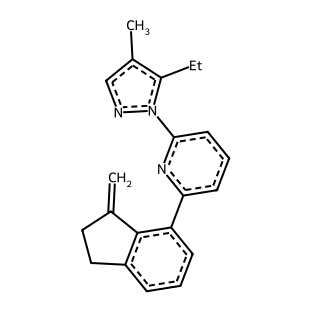 C=C1CCc2cccc(-c3cccc(-n4ncc(C)c4CC)n3)c21